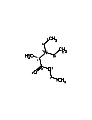 CCOC(=O)[C@H](C)N(CC)CC